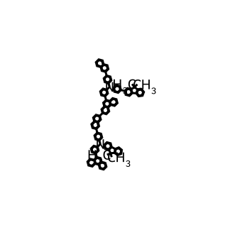 CC1(C)c2ccccc2-c2ccc(-c3ccc(N(c4ccc(-c5ccc6ccccc6c5)cc4)c4cccc(-c5cc6cc(-c7ccc8ccc(-c9ccc(N(c%10cccc(-c%11cc%12ccccc%12c%12ccccc%11%12)c%10)c%10ccc%11c(c%10)C(C)(C)c%10ccccc%10-%11)cc9)cc8c7)ccc6c6ccccc56)c4)cc3)cc21